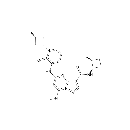 CNc1cc(Nc2cccn([C@H]3C[C@H](F)C3)c2=O)nc2c(C(=O)N[C@@H]3CC[C@@H]3O)cnn12